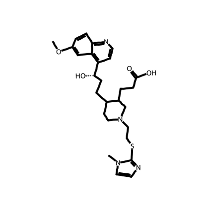 COc1ccc2nccc([C@@H](O)CCC3CCN(CCSc4nccn4C)CC3CCC(=O)O)c2c1